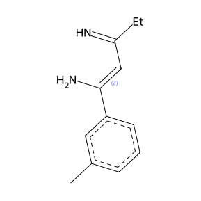 CCC(=N)/C=C(\N)c1cccc(C)c1